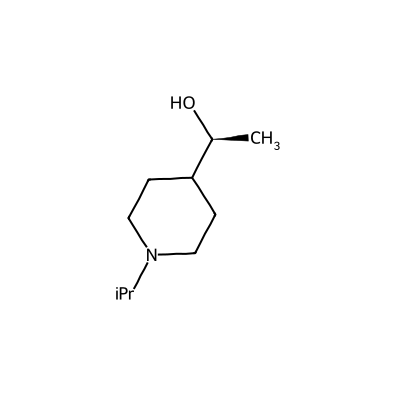 CC(C)N1CCC([C@H](C)O)CC1